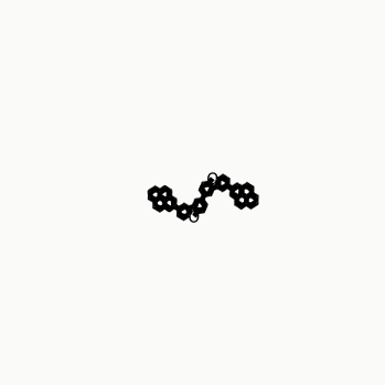 C1=CC2C=Cc3cc(-c4ccc5oc6ccc(-c7ccc8oc9ccc(-c%10cc%11ccc%12cccc%13ccc(c%10)c%11c%12%13)cc9c8c7)cc6c5c4)cc4c3C2C(=C1)C=C4